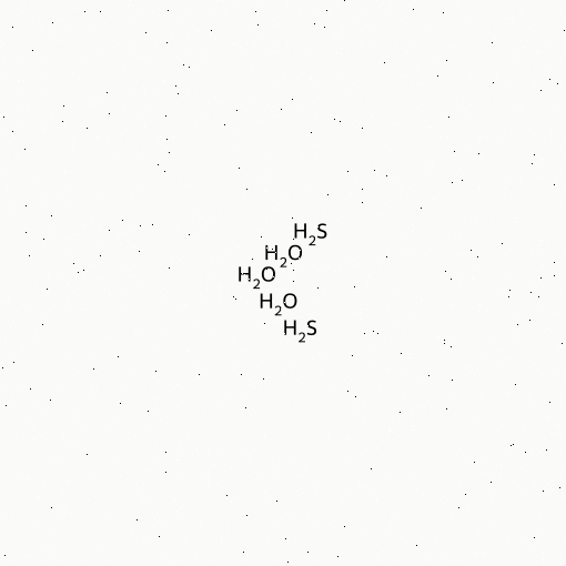 O.O.O.S.S